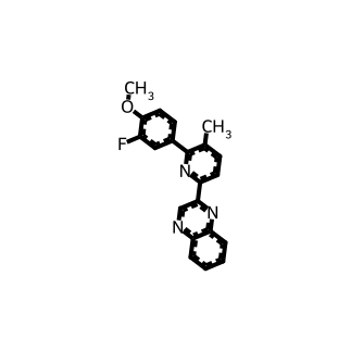 COc1ccc(-c2nc(-c3cnc4ccccc4n3)ccc2C)cc1F